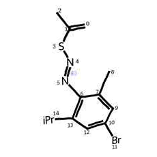 C=C(C)S/N=N/c1c(C)cc(Br)cc1C(C)C